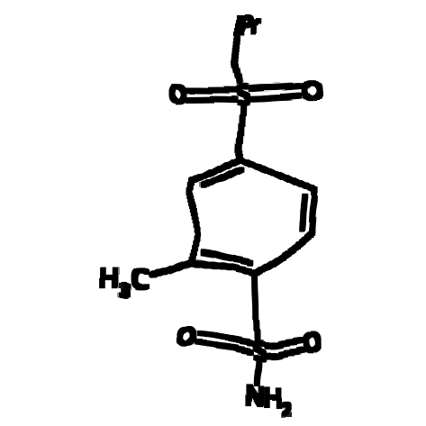 Cc1cc(S(=O)(=O)C(C)C)ccc1S(N)(=O)=O